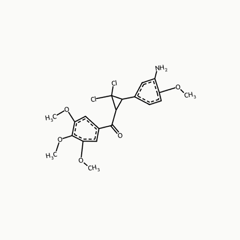 COc1ccc(C2C(C(=O)c3cc(OC)c(OC)c(OC)c3)C2(Cl)Cl)cc1N